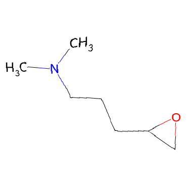 CN(C)CCCC1CO1